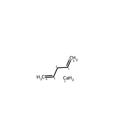 C=CCC=C.[CaH2]